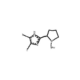 CC(C)(C)N1CCCC1c1nc(I)c(I)[nH]1